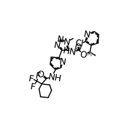 C[C@@H](OC(=O)Nc1c(-c2ccc(NC(=O)C3(C(F)(F)F)CCCCC3)cn2)nnn1C)c1cccnc1Cl